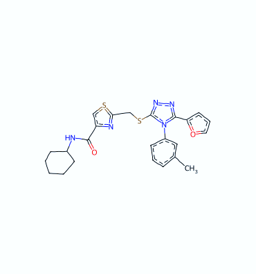 Cc1cccc(-n2c(SCc3nc(C(=O)NC4CCCCC4)cs3)nnc2-c2ccco2)c1